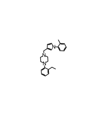 CCc1ccccc1N1CCN(Cc2ccn(-c3ccccc3C)c2)CC1